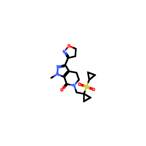 Cn1nc(C2=NOCC2)c2c1C(=O)N(CC1(S(=O)(=O)C3CC3)CC1)CC2